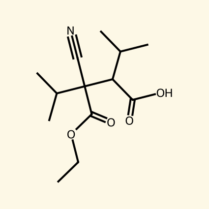 CCOC(=O)C(C#N)(C(C)C)C(C(=O)O)C(C)C